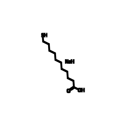 O=C(O)CCCCCCCCCCS.[NaH]